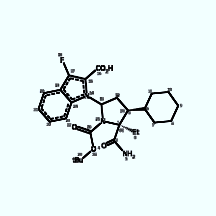 CC[C@@]1(C(N)=O)[C@H](C2CCCCC2)CC(n2c(C(=O)O)c(F)c3ccccc32)N1C(=O)OC(C)(C)C